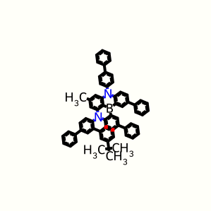 Cc1cc2c3c(c1)N(c1ccc(-c4ccccc4)cc1-c1cccc(C(C)(C)C)c1)c1ccc(-c4ccccc4)cc1B3c1cc(-c3ccccc3)ccc1N2c1ccc(-c2ccccc2)cc1